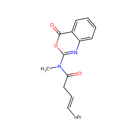 CCCC=CCC(=O)N(C)c1nc2ccccc2c(=O)o1